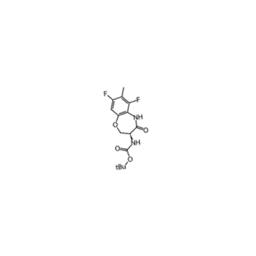 Cc1c(F)cc2c(c1F)NC(=O)[C@@H](NC(=O)OC(C)(C)C)CO2